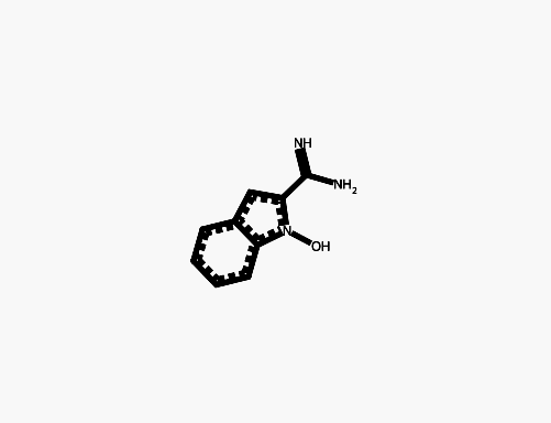 N=C(N)c1cc2ccccc2n1O